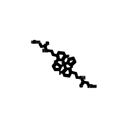 CCCCCCCCCCCC(=O)NCCc1ccc(F)[c]([Ti]([c]2c(F)ccc(CCNC(=O)CCCCCCCCCCC)c2F)([CH]2C=CC=C2)[CH]2C=CC=C2)c1F